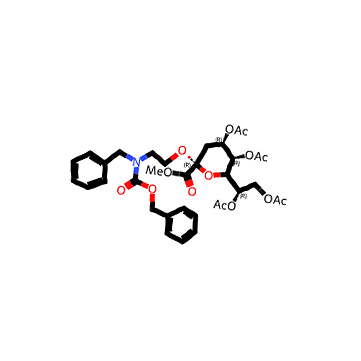 COC(=O)[C@@]1(OCCN(Cc2ccccc2)C(=O)OCc2ccccc2)C[C@@H](OC(C)=O)[C@@H](OC(C)=O)C([C@@H](COC(C)=O)OC(C)=O)O1